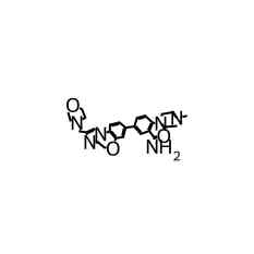 CN1CCN(c2ccc(-c3ccc4c(c3)OCc3nc(CN5CCOCC5)cn3-4)cc2C(N)=O)CC1